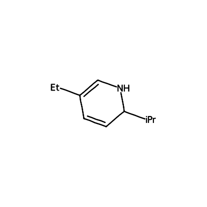 CCC1=CNC(C(C)C)C=C1